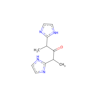 CC(C(=O)C(C)c1ncc[nH]1)c1ncc[nH]1